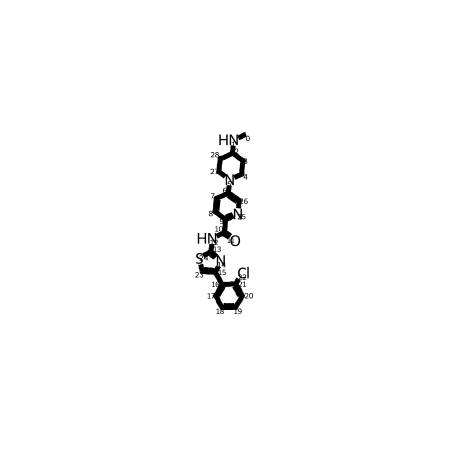 CNC1CCN(c2ccc(C(=O)Nc3nc(-c4ccccc4Cl)cs3)nc2)CC1